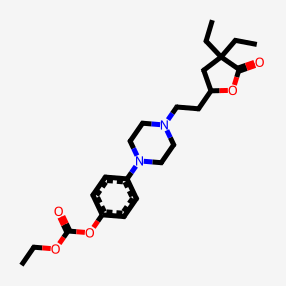 CCOC(=O)Oc1ccc(N2CCN(CCC3CC(CC)(CC)C(=O)O3)CC2)cc1